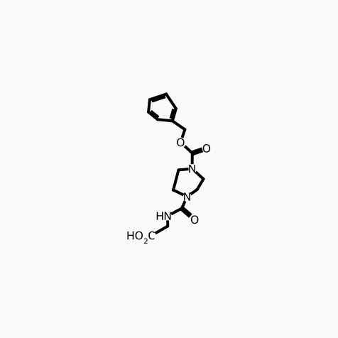 O=C(O)CNC(=O)N1CCN(C(=O)OCc2ccccc2)CC1